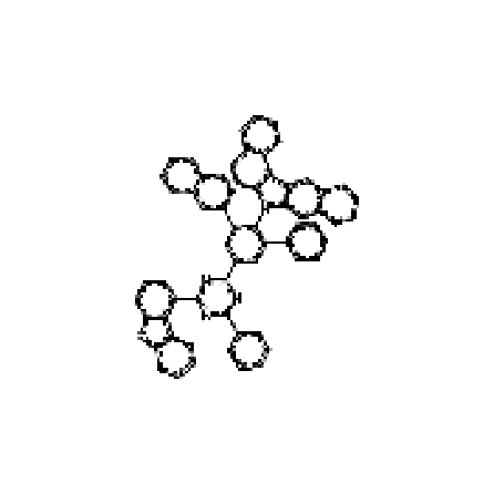 c1ccc(-c2nc(-c3cc(-c4ccccc4)c(-n4c5cc6ccccc6cc5c5c6ccccc6ccc54)c(-c4ccc5ccccc5c4)c3)nc(-c3cccc4sc5ccccc5c34)n2)cc1